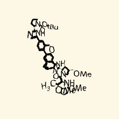 COC[C@H]1C[C@@H](c2nc3ccc4cc5c(cc4c3[nH]2)OCc2cc(-c3cnc([C@@H]4CCCN4C(=O)OC(C)(C)C)[nH]3)ccc2-5)N(C(=O)[C@@H](NC(=O)OC)[C@@H](C)OC)C1